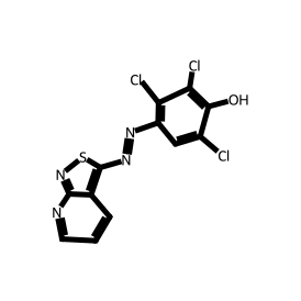 Oc1c(Cl)cc(/N=N/c2snc3ncccc23)c(Cl)c1Cl